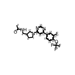 CC(=O)NCC1CCN(c2cc(-c3ccc(OC(F)(F)F)c(F)c3)ncn2)C1